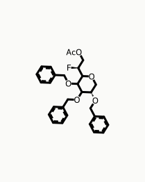 CC(=O)OC[C@H](F)C1OC[C@H](OCc2ccccc2)C(OCc2ccccc2)C1OCc1ccccc1